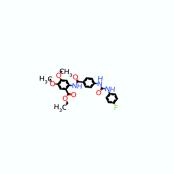 CCOC(=O)c1cc(OC)c(OC)cc1NC(=O)c1ccc(NC(=O)Nc2ccc(F)cc2)cc1